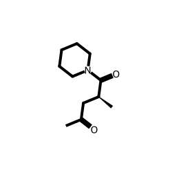 CC(=O)C[C@H](C)C(=O)N1CCCCC1